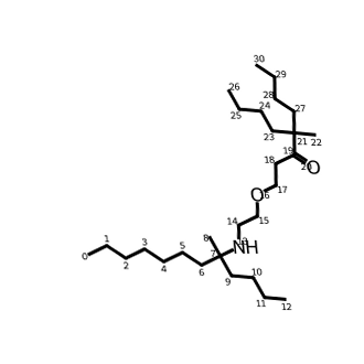 CCCCCCCC(C)(CCCC)NCCOCCC(=O)C(C)(CCCC)CCCC